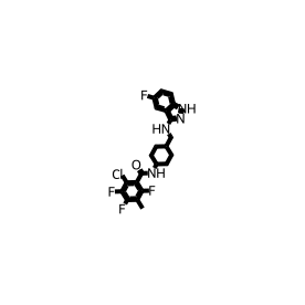 Cc1c(F)c(F)c(Cl)c(C(=O)NC2CCC(CNc3n[nH]c4ccc(F)cc34)CC2)c1F